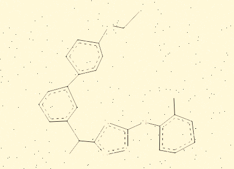 CCOc1ccc(-c2cccc(C(C)c3nc(Nc4ccccc4C)no3)c2)cc1